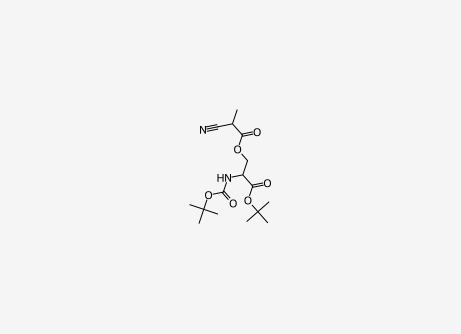 CC(C#N)C(=O)OCC(NC(=O)OC(C)(C)C)C(=O)OC(C)(C)C